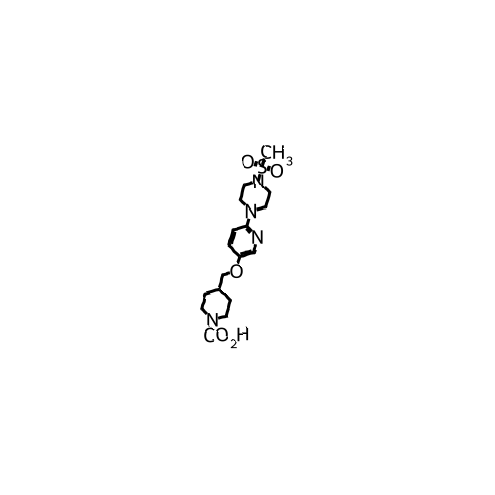 CS(=O)(=O)N1CCN(c2ccc(OCC3CCN(C(=O)O)CC3)cn2)CC1